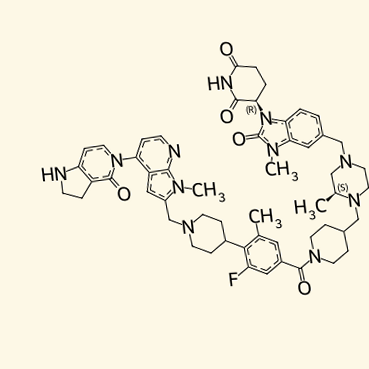 Cc1cc(C(=O)N2CCC(CN3CCN(Cc4ccc5c(c4)n(C)c(=O)n5[C@@H]4CCC(=O)NC4=O)C[C@@H]3C)CC2)cc(F)c1C1CCN(Cc2cc3c(-n4ccc5c(c4=O)CCN5)ccnc3n2C)CC1